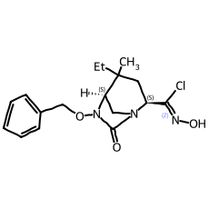 CCC1(C)C[C@@H](/C(Cl)=N/O)N2C[C@H]1N(OCc1ccccc1)C2=O